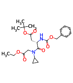 CCOC(=O)CN(C(=O)[C@H](CC(=O)OC(C)(C)C)NC(=O)OCc1ccccc1)C1CC1